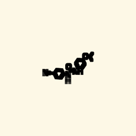 CC(C)Oc1ccc(NC(=O)Nc2ccc(C#N)cc2)cc1